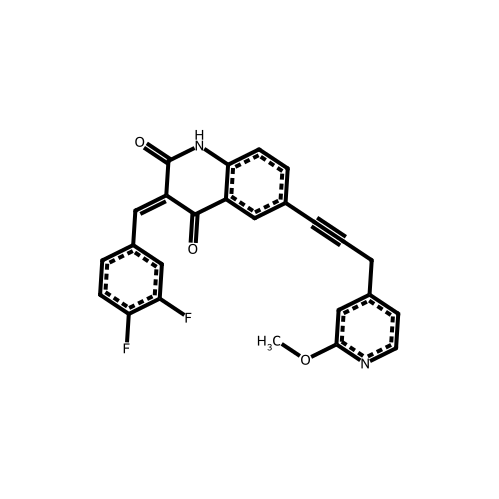 COc1cc(CC#Cc2ccc3c(c2)C(=O)/C(=C\c2ccc(F)c(F)c2)C(=O)N3)ccn1